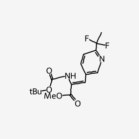 COC(=O)C(=Cc1ccc(C(C)(F)F)nc1)NC(=O)OC(C)(C)C